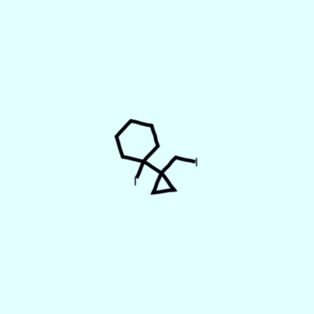 ICC1(C2(I)CCCCC2)CC1